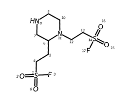 O=S(=O)(F)CCC1CNCCN1CCS(=O)(=O)F